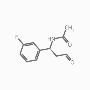 CC(=O)N[C@@H](CC=O)c1cccc(F)c1